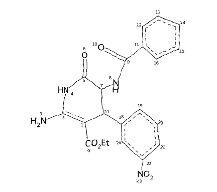 CCOC(=O)C1=C(N)NC(=O)C(NC(=O)c2ccccc2)C1c1cccc([N+](=O)[O-])c1